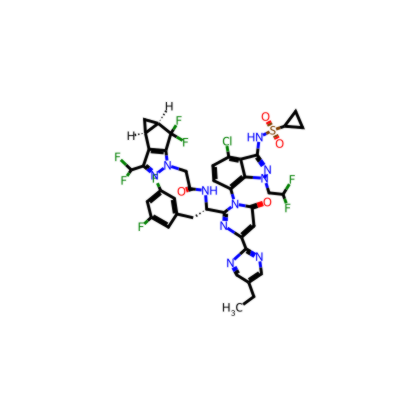 CCc1cnc(-c2cc(=O)n(-c3ccc(Cl)c4c(NS(=O)(=O)C5CC5)nn(CC(F)F)c34)c([C@H](Cc3cc(F)cc(F)c3)NC(=O)Cn3nc(C(F)F)c4c3C(F)(F)[C@@H]3C[C@H]43)n2)nc1